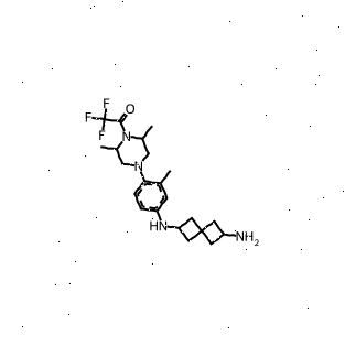 Cc1cc(NC2CC3(CC(N)C3)C2)ccc1N1CC(C)N(C(=O)C(F)(F)F)C(C)C1